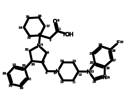 O=C(O)CC1(N2CC(CN3CCC(n4cnc5cc(F)ccc54)CC3)C(c3ccccc3)C2)CCCCC1